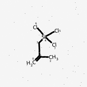 C=C(C)C[Si](Cl)(Cl)Cl